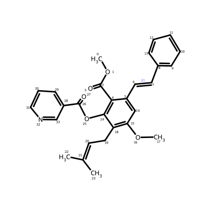 COC(=O)c1c(/C=C/c2ccccc2)cc(OC)c(CC=C(C)C)c1OC(=O)c1cccnc1